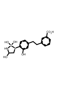 O=C(O)c1cccc(CCc2ccc(N3CC(O)NS3(O)O)c(O)c2)c1